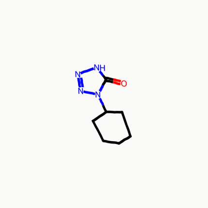 O=c1[nH]nnn1C1CCCCC1